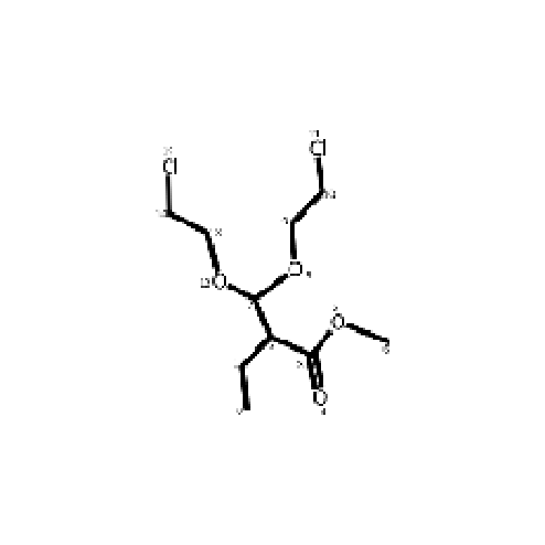 CCC(C(=O)OC)C(OCCCl)OCCCl